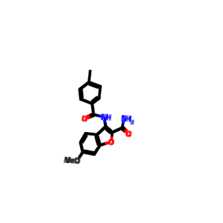 COc1ccc2c(NC(=O)c3ccc(C)cc3)c(C(N)=O)oc2c1